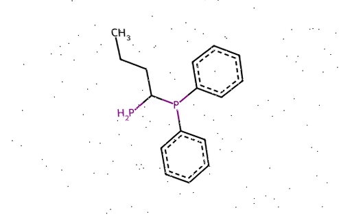 CCCC(P)P(c1ccccc1)c1ccccc1